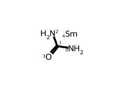 NC(N)=O.[Sm]